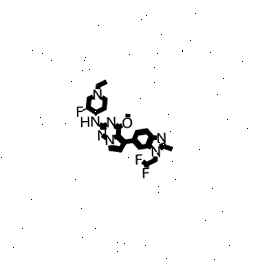 CCN1CC[C@H](Nc2nc(OC)c3c(-c4ccc5nc(C)n(CC(F)F)c5c4)ccn3n2)[C@H](F)C1